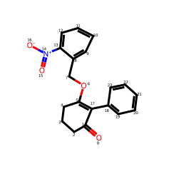 O=C1CCCC(OCc2ccccc2[N+](=O)[O-])=C1c1ccccc1